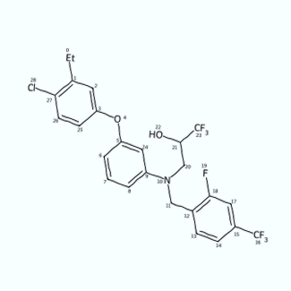 CCc1cc(Oc2cccc(N(Cc3ccc(C(F)(F)F)cc3F)CC(O)C(F)(F)F)c2)ccc1Cl